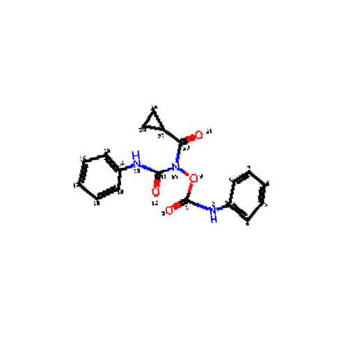 O=C(Nc1ccccc1)ON(C(=O)Nc1ccccc1)C(=O)C1CC1